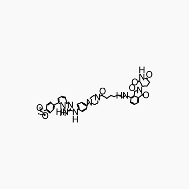 CS(=O)(=O)c1ccc(-c2ccc/c(=N/C(=N)Nc3ccc(N4CCN(C(=O)CCCCCNc5cccc6c5C(=O)N(C5CCC(=O)NC5=O)C6=O)CC4)cc3)[nH]2)cc1